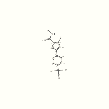 CNC(=O)c1sc(-c2ccc(C(F)(F)F)cc2)nc1C